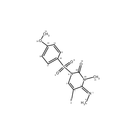 CN=c1c(F)cn(S(=O)(=O)c2ccc(OC)cc2)c(=O)n1C